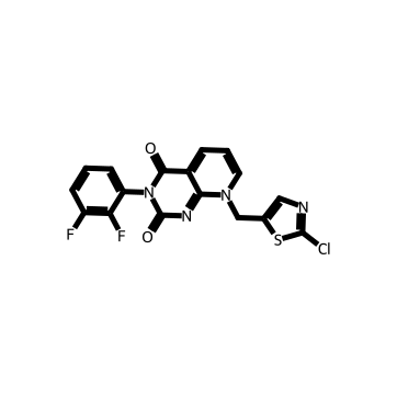 O=c1nc2n(Cc3cnc(Cl)s3)cccc-2c(=O)n1-c1cccc(F)c1F